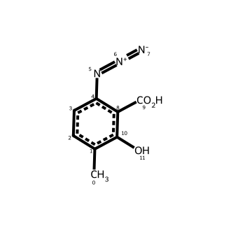 Cc1ccc(N=[N+]=[N-])c(C(=O)O)c1O